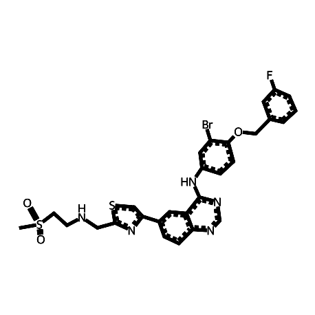 CS(=O)(=O)CCNCc1nc(-c2ccc3ncnc(Nc4ccc(OCc5cccc(F)c5)c(Br)c4)c3c2)cs1